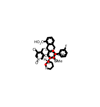 COc1ccc([C@H](Cc2c(Cl)c[n+]([O-])cc2Cl)c2c(CNC(C(=O)O[C@H]3CN4CCC3CC4)c3cccc(F)c3)cccc2C(=O)O)cc1OC